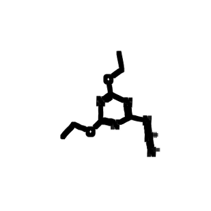 CCOc1nc(N=[N+]=[N-])nc(OCC)n1